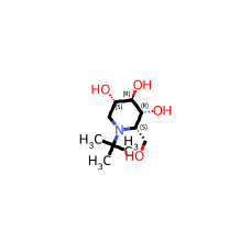 CC(C)(C)N1C[C@H](O)[C@@H](O)[C@H](O)[C@@H]1CO